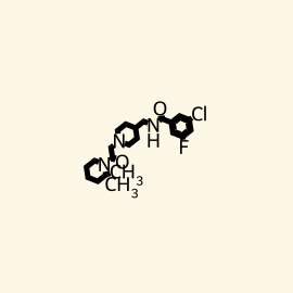 CC1(C)CCCCN1C(=O)CN1CCC(CNC(=O)c2cc(F)cc(Cl)c2)CC1